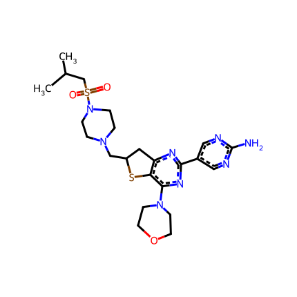 CC(C)CS(=O)(=O)N1CCN(CC2Cc3nc(-c4cnc(N)nc4)nc(N4CCOCC4)c3S2)CC1